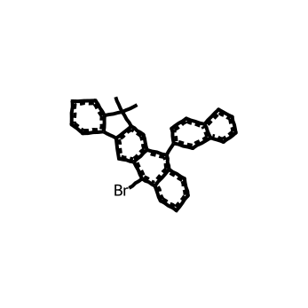 CC1(C)c2ccccc2-c2cc3c(Br)c4ccccc4c(-c4ccc5ccccc5c4)c3cc21